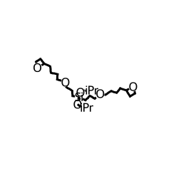 CC(C)O[Si](CCCOCCCCC1CCO1)(CCCOCCCCC1CCO1)OC(C)C